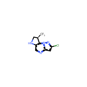 FC(F)(F)[C@@H]1CNc2cnc3cc(Cl)nn3c21